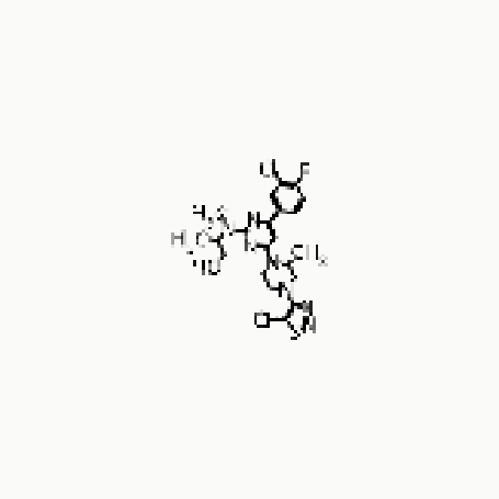 CC(CO)N(C)c1nc(-c2ccc(F)c(Cl)c2)cc(N2CCN(c3nnsc3Cl)CC2C)n1